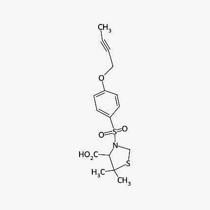 CC#CCOc1ccc(S(=O)(=O)N2CSC(C)(C)C2C(=O)O)cc1